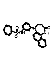 O=C1CCN(c2cccc(NS(=O)(=O)c3ccccc3)c2)c2ccc3ccccc3c2N1